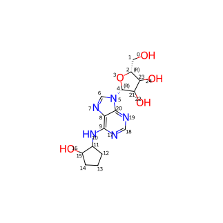 OC[C@H]1O[C@@H](n2cnc3c(NC4CCCC4O)ncnc32)C(O)C1O